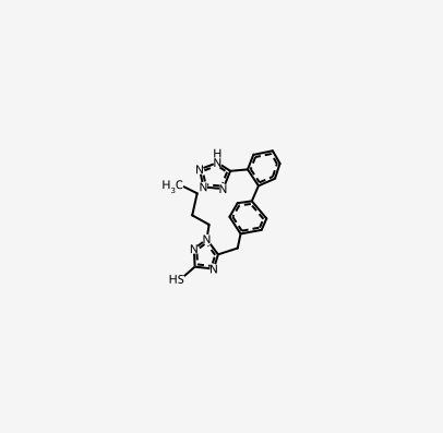 CCCCn1nc(S)nc1Cc1ccc(-c2ccccc2-c2nnn[nH]2)cc1